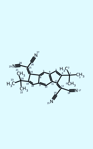 CC(C)(C)C1=Cc2cc3c(cc2C1=C(C#N)C#N)C=C(C(C)(C)C)C3=C(C#N)C#N